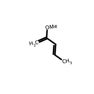 C=C(C=CC)OC